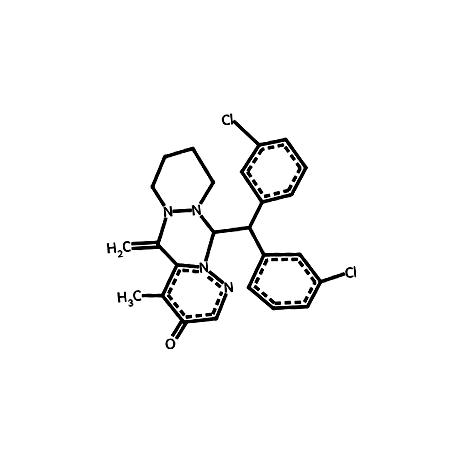 C=C1c2c(C)c(=O)cnn2C(C(c2cccc(Cl)c2)c2cccc(Cl)c2)N2CCCCN12